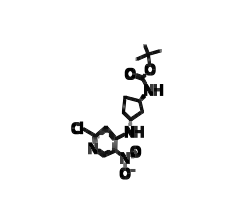 CC(C)(C)OC(=O)N[C@@H]1CC[C@@H](Nc2cc(Cl)ncc2[N+](=O)[O-])C1